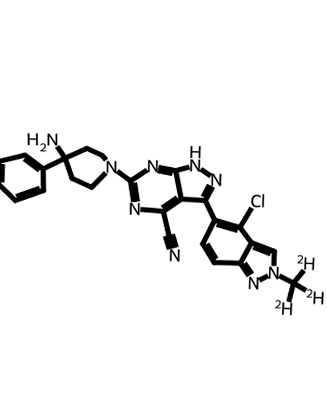 [2H]C([2H])([2H])n1cc2c(Cl)c(-c3n[nH]c4nc(N5CCC(N)(c6ccccc6)CC5)nc(C#N)c34)ccc2n1